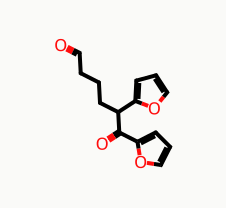 O=CCCCC(C(=O)c1ccco1)c1ccco1